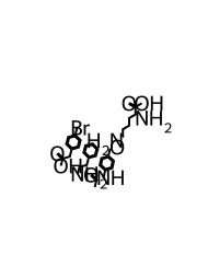 CC(=O)Nc1ccc(C=O)cc1.NCCCC[C@H](N)C(=O)O.NCCc1ccccc1.O=C(O)Cc1ccc(Br)cc1